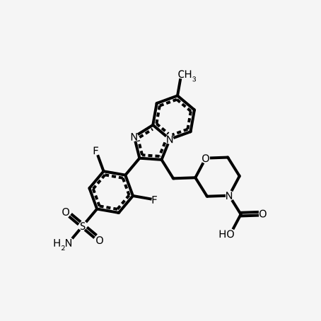 Cc1ccn2c(CC3CN(C(=O)O)CCO3)c(-c3c(F)cc(S(N)(=O)=O)cc3F)nc2c1